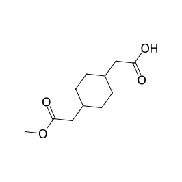 COC(=O)CC1CCC(CC(=O)O)CC1